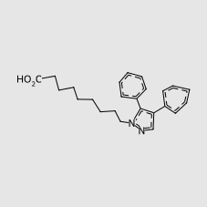 O=C(O)CCCCCCCCn1ncc(-c2ccccc2)c1-c1ccccc1